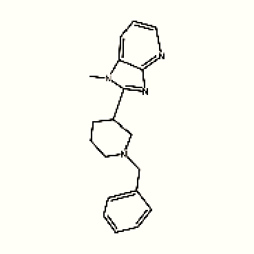 Cn1c(C2CCCN(Cc3ccccc3)C2)nc2ncccc21